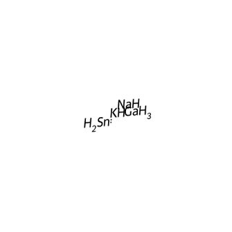 [GaH3].[KH].[NaH].[SnH2]